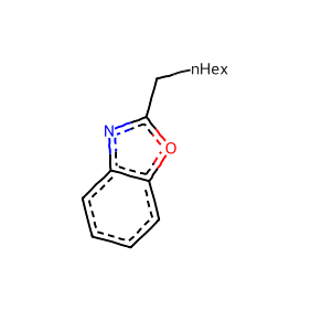 CCCCCCCc1nc2ccccc2o1